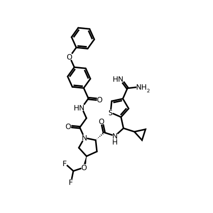 N=C(N)c1csc(C(NC(=O)[C@@H]2C[C@@H](OC(F)F)CN2C(=O)CNC(=O)c2ccc(Oc3ccccc3)cc2)C2CC2)c1